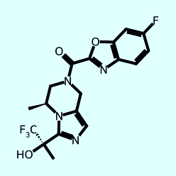 C[C@H]1CN(C(=O)c2nc3ccc(F)cc3o2)Cc2cnc([C@@](C)(O)C(F)(F)F)n21